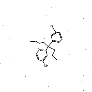 CCCCC(CCC)(c1cccc(O)c1)c1cccc(O)c1